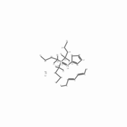 CC=CC=CCC.CCCC(C)(C)P(=NC1=CC=CC1)(C(C)(C)CCC)C(C)(C)CCC.[Ti]